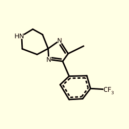 CC1=NC2(CCNCC2)N=C1c1cccc(C(F)(F)F)c1